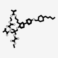 C=C(C)C(=O)OCCCc1cc(-c2ccc(OCC3CCC(CCCCC)CC3)cc2)ccc1OCC(COC(=O)C(=C)C)(COC(=O)C(=O)OCC)COC(=O)C(=O)OCC